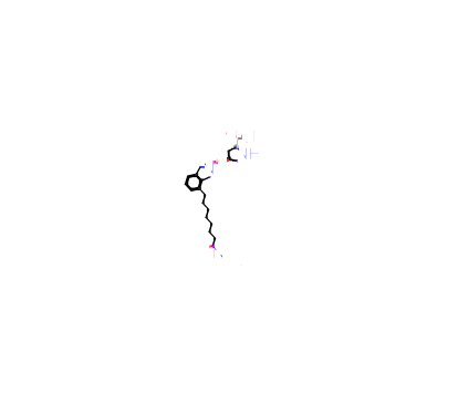 CC(=O)[C@@H]1C[C@@H](OC(=O)N2Cc3cccc(CCCCCCCC(N)=O)c3C2)CN1